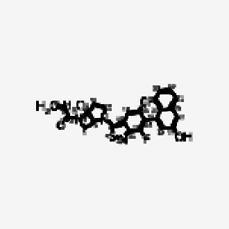 C=CC(=O)N1CC2N(c3snc4c(F)c(-c5cc(O)cc6ccccc56)c(Cl)cc34)CC[C@@]21C